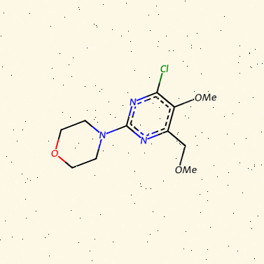 COCc1nc(N2CCOCC2)nc(Cl)c1OC